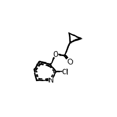 O=C(Oc1cccnc1Cl)C1CC1